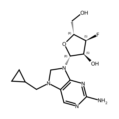 Nc1ncc2c(n1)N([C@@H]1O[C@H](CO)[C@@H](F)[C@H]1O)CN2CC1CC1